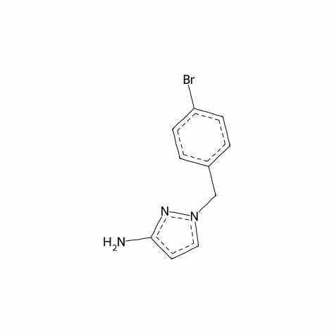 Nc1ccn(Cc2ccc(Br)cc2)n1